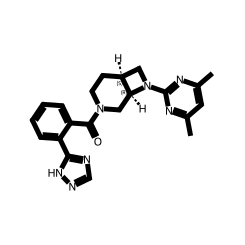 Cc1cc(C)nc(N2C[C@@H]3CCN(C(=O)c4ccccc4-c4ncn[nH]4)C[C@@H]32)n1